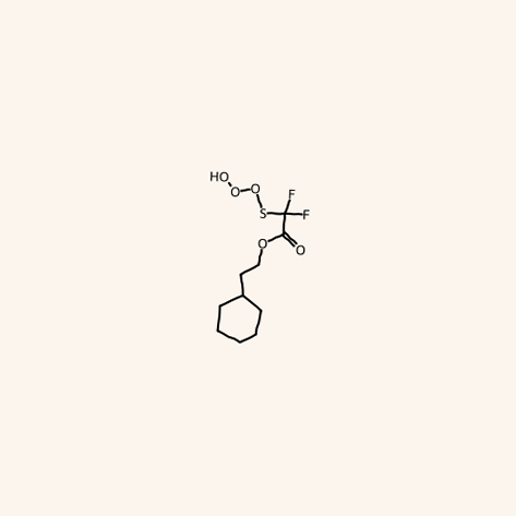 O=C(OCCC1CCCCC1)C(F)(F)SOOO